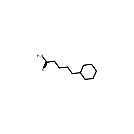 NC(=O)CCCCC1CCCCC1